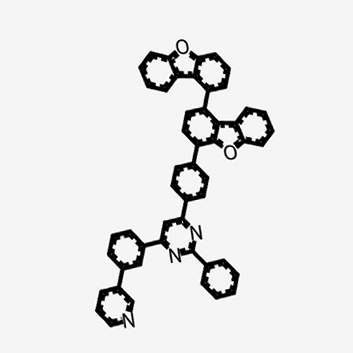 c1ccc(-c2nc(-c3ccc(-c4ccc(-c5cccc6oc7ccccc7c56)c5c4oc4ccccc45)cc3)cc(-c3cccc(-c4cccnc4)c3)n2)cc1